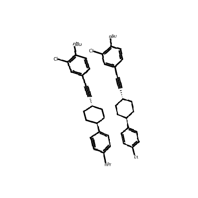 CCCCc1ccc(C#C[C@H]2CC[C@H](c3ccc(CC)cc3)CC2)cc1Cl.CCCCc1ccc(C#C[C@H]2CC[C@H](c3ccc(CCC)cc3)CC2)cc1Cl